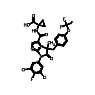 CC1(Cc2ccc(OC(F)(F)F)cc2)C(=O)N(c2cc(Cl)c(F)c(Cl)c2)c2ncc(C(=O)NC3(C(=O)O)CC3)n21